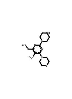 CCCOc1nc(N2CCNCC2)nc(N2CCSCC2)c1[N+](=O)[O-]